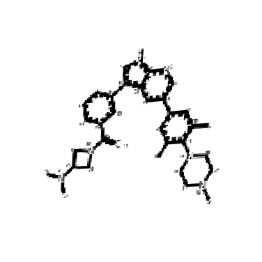 Cc1cc(-c2cnc3[nH]cc(-c4cccc(C(=O)N5CC(N(C)C)C5)c4)c3c2)cc(C)c1N1CCN(C)CC1